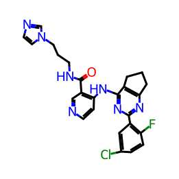 O=C(NCCCn1ccnc1)c1cnccc1Nc1nc(-c2cc(Cl)ccc2F)nc2c1CCC2